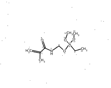 C=C(C)C(=O)NCO[Si](CC)(OC)OC